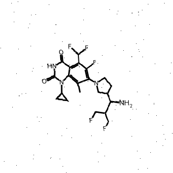 Cc1c(N2CCC(C(N)C(CF)CF)C2)c(F)c(C(F)F)c2c(=O)[nH]c(=O)n(C3CC3)c12